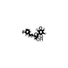 CC1=C(C)C(=O)C(CCC(C)(O)C(=O)NCCc2cccc(F)c2)=C(C)C1=O